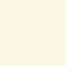 NCCc1ccccc1.NCCc1ccccc1.O=C(O)CCCC(=O)OC(=O)CCCC(=O)O